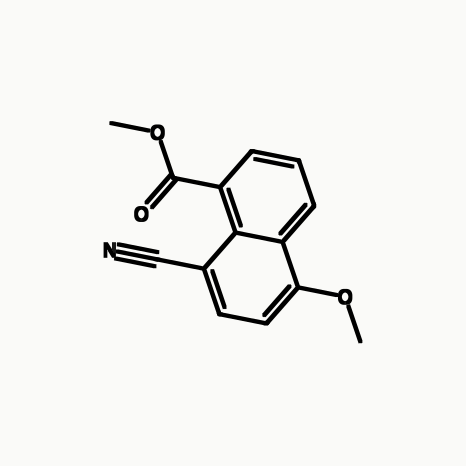 COC(=O)c1cccc2c(OC)ccc(C#N)c12